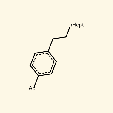 CCCCCCCCCc1ccc(C(C)=O)cc1